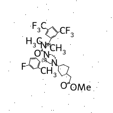 COC(=O)CC1CCC(N2CCN(C(=O)N(C)[C@H](C)c3cc(C(F)(F)F)cc(C(F)(F)F)c3)[C@@H](c3ccc(F)cc3C)C2)CC1